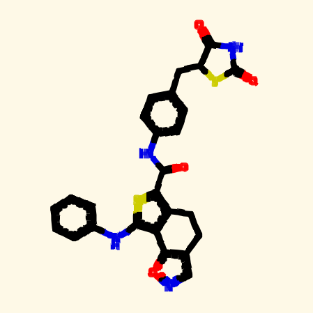 O=C1NC(=O)C(Cc2ccc(NC(=O)c3sc(Nc4ccccc4)c4c3CCc3cnoc3-4)cc2)S1